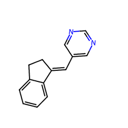 C(=C1CCc2ccccc21)c1cncnc1